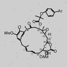 COc1cc2cc(c1Cl)N(C)C(=O)C[C@H](OC(=O)C(C)(C)Oc1ccc(C(C)=O)cc1)[C@]1(C)O[C@H]1[C@H](C)[C@@H]1C[C@@](O)(NC(=O)O1)[C@H](OC)/C=C/C=C(\C)C2